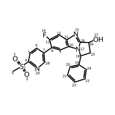 CS(=O)(=O)c1ccc(-c2cc3c(cc2F)nc2n3C(c3ccccc3)CC2O)cn1